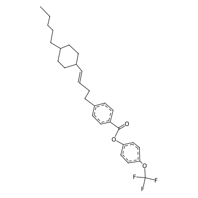 CCCCCC1CCC(C=CCCc2ccc(C(=O)Oc3ccc(OC(F)(F)F)cc3)cc2)CC1